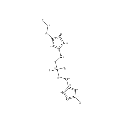 CCCc1cc(OCC(C)(C)COc2cc(C)on2)no1